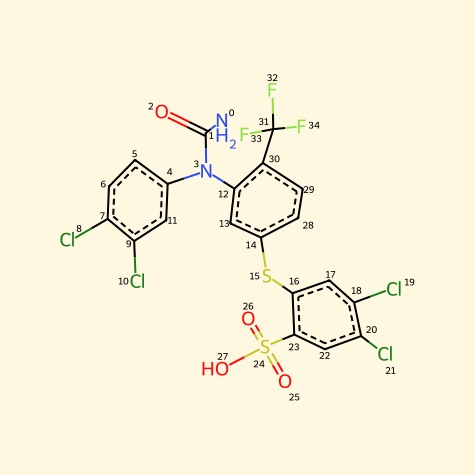 NC(=O)N(c1ccc(Cl)c(Cl)c1)c1cc(Sc2cc(Cl)c(Cl)cc2S(=O)(=O)O)ccc1C(F)(F)F